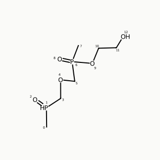 C[PH](=O)COCP(C)(=O)OCCO